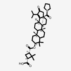 CC(C)C1=C2[C@H]3CCC4[C@@]5(C)CC[C@H](OC(=O)[C@H]6C[C@@H](C(=O)O)C6(C)C)C(C)(C)C5CC[C@@]4(C)[C@]3(C)CC[C@@]2(C(=O)N2CCCC2)CC1=O